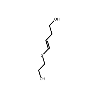 OCCC=CSCCO